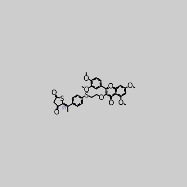 COc1cc(OC)c2c(=O)c(OCCSc3ccc(/C(C)=C4\SC(=O)CC4=O)cc3)c(-c3ccc(OC)c(OC)c3)oc2c1